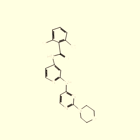 O=C(Nc1ccnc(Nc2ccnc(N3CCOCC3)n2)c1)c1c(Cl)cccc1Cl